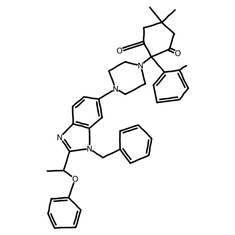 Cc1ccccc1C1(N2CCN(c3ccc4nc(C(C)Oc5ccccc5)n(Cc5ccccc5)c4c3)CC2)C(=O)CC(C)(C)CC1=O